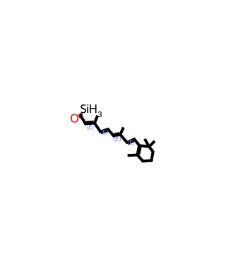 CC1=C(/C=C/C(C)=C/C=C/C(C)=C/C(=O)[SiH3])C(C)(C)CCC1